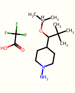 C[SiH](C)OC(C1CCN(N)CC1)C(C)(C)C.O=C(O)C(F)(F)F